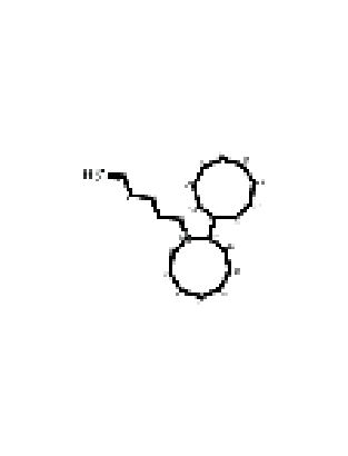 C=CCCCCB1CCCCCCCC1C1CCCCCCCC1